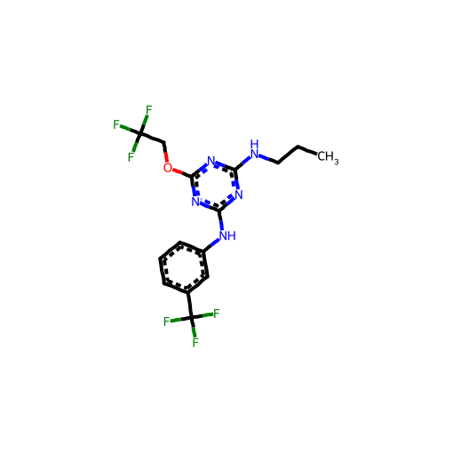 CCCNc1nc(Nc2cccc(C(F)(F)F)c2)nc(OCC(F)(F)F)n1